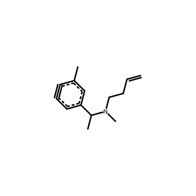 C=CCCN(C)C(C)c1cc#cc(C)c1